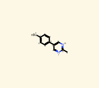 CCCCc1ccc(-c2cnc(C)nc2)cc1